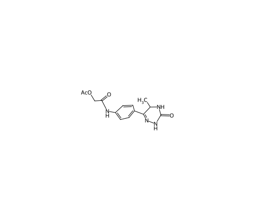 CC(=O)OCC(=O)Nc1ccc(C2=NNC(=O)NC2C)cc1